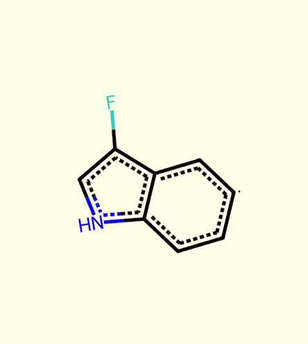 Fc1c[nH]c2cc[c]cc12